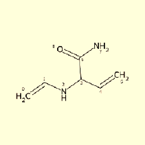 C=CNC(C=C)C(N)=O